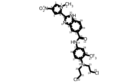 Cn1cc([N+](=O)[O-])cc1-c1nc2cc(C(=O)Nc3ccc(N(CCCl)CCCl)c(C(F)(F)F)c3)ccc2[nH]1